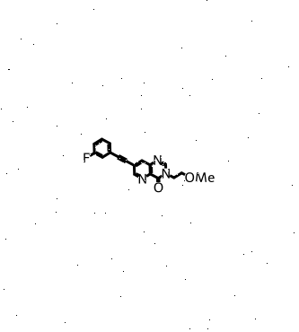 COCCn1cnc2cc(C#Cc3cccc(F)c3)cnc2c1=O